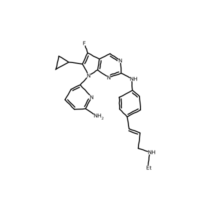 CCNC/C=C/c1ccc(Nc2ncc3c(F)c(C4CC4)n(-c4cccc(N)n4)c3n2)cc1